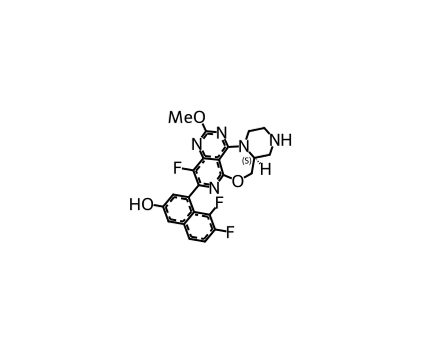 COc1nc2c3c(nc(-c4cc(O)cc5ccc(F)c(F)c45)c(F)c3n1)OC[C@@H]1CNCCN21